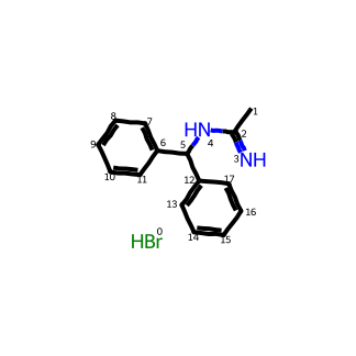 Br.CC(=N)NC(c1ccccc1)c1ccccc1